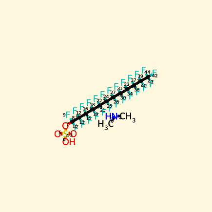 CNC.O=S(=O)(O)OC(F)(F)C(F)(F)C(F)(F)C(F)(F)C(F)(F)C(F)(F)C(F)(F)C(F)(F)C(F)(F)C(F)(F)C(F)(F)C(F)(F)F